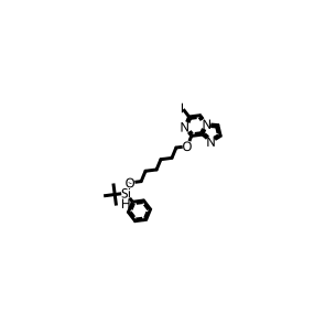 CC(C)(C)[SiH](OCCCCCCOc1nc(I)cn2ccnc12)c1ccccc1